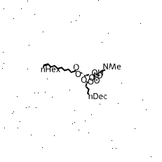 CCCCCC/C=C\CCCCCCCC(=O)OC[C@H](COP(=O)(O)OCCNC)OC(=O)CCCCCCCCCCCCC